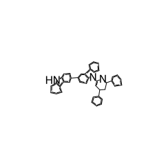 C1=C(n2c3ccccc3c3cc(-c4ccc5[nH]c6ccccc6c5c4)ccc32)N=C(c2ccccc2)CC1c1ccccc1